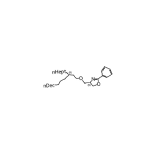 CCCCCCCCCCCCC[C@@H](CCCCCCC)CCOC[C@@H]1COC(c2ccccc2)=N1